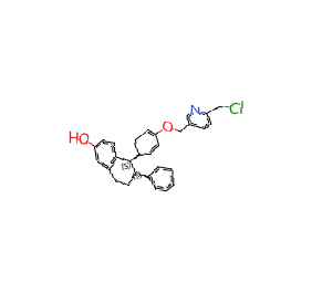 Oc1ccc2c(c1)CC[C@H](c1ccccc1)[C@@H]2C1C=CC(OCc2ccc(CCl)nc2)=CC1